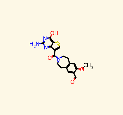 COc1cc2c(cc1C=O)CCN(C(=O)c1csc3c(O)nc(N)nc13)CC2